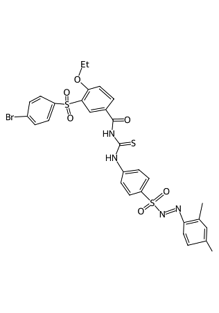 CCOc1ccc(C(=O)NC(=S)Nc2ccc(S(=O)(=O)N=Nc3ccc(C)cc3C)cc2)cc1S(=O)(=O)c1ccc(Br)cc1